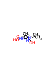 Cc1cc2c(cc1CNC(=O)O)nc(CO)n2CCC(C)C